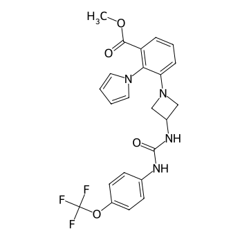 COC(=O)c1cccc(N2CC(NC(=O)Nc3ccc(OC(F)(F)F)cc3)C2)c1-n1cccc1